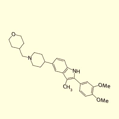 COc1ccc(-c2[nH]c3ccc(C4CCN(CC5CCOCC5)CC4)cc3c2C)cc1OC